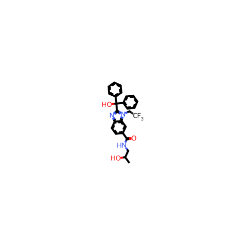 CC(O)CNC(=O)c1ccc2nc(C(O)(c3ccccc3)c3ccccc3)n(CC(F)(F)F)c2c1